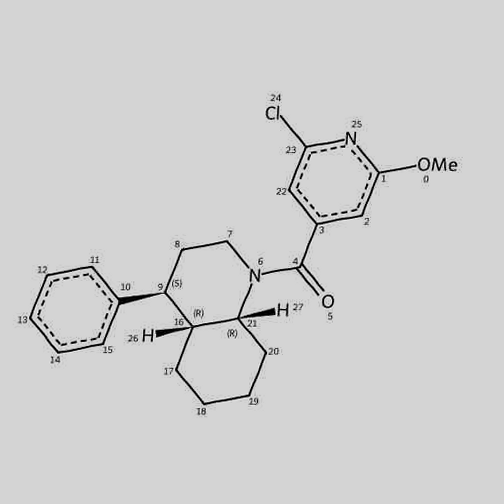 COc1cc(C(=O)N2CC[C@H](c3ccccc3)[C@H]3CCCC[C@H]32)cc(Cl)n1